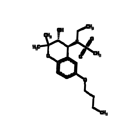 CCCCOc1ccc2c(c1)[C@H](N(CC)S(C)(=O)=O)[C@@H](O)C(C)(C)O2